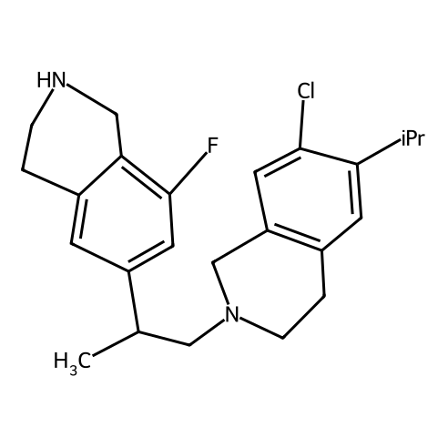 CC(C)c1cc2c(cc1Cl)CN(CC(C)c1cc(F)c3c(c1)CCNC3)CC2